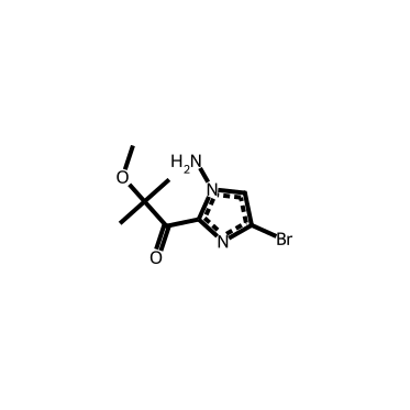 COC(C)(C)C(=O)c1nc(Br)cn1N